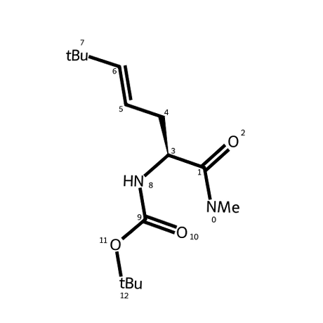 CNC(=O)[C@H](C/C=C/C(C)(C)C)NC(=O)OC(C)(C)C